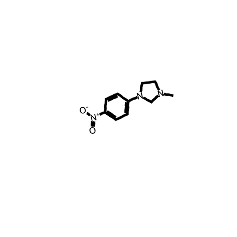 CN1CCN(c2ccc([N+](=O)[O-])cc2)C1